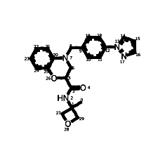 CC1(NC(=O)C2CN(Cc3ccc(-n4cccn4)cc3)c3ccccc3O2)COC1